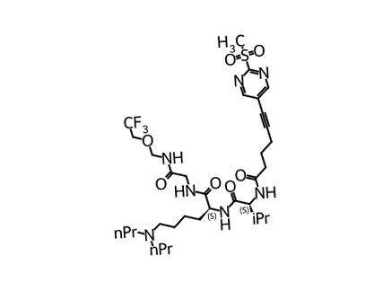 CCCN(CCC)CCCC[C@H](NC(=O)[C@@H](NC(=O)CCCC#Cc1cnc(S(C)(=O)=O)nc1)C(C)C)C(=O)NCC(=O)NCOCC(F)(F)F